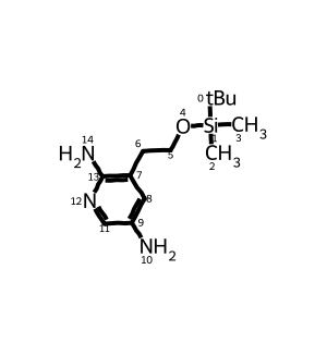 CC(C)(C)[Si](C)(C)OCCc1cc(N)cnc1N